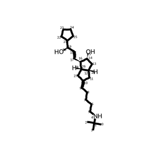 CC(C)(C)NCCCC/C=C1\C[C@H]2C[C@@H](O)[C@H](/C=C/[C@@H](O)C3CCCC3)[C@H]2C1